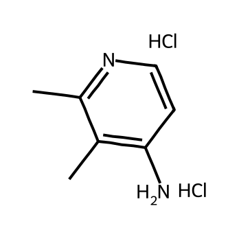 Cc1nccc(N)c1C.Cl.Cl